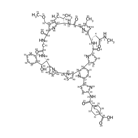 CNC(=O)C[C@@H]1NC(=O)c2csc(n2)-c2ccc(-c3nc(NC(=O)C45CCC(C(=O)O)(CC4)CC5)cs3)nc2-c2csc(n2)-c2csc(n2)[C@H]([C@@H](O)c2ccccc2)NC(=O)CNC(=O)c2nc(sc2COC)[C@H](C(C)C)NC(=O)c2nc1sc2C